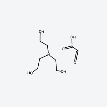 O=CC(=O)O.OCCN(CCO)CCO